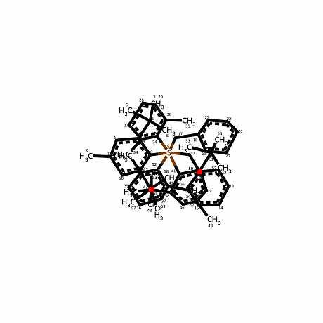 Cc1cc(C(C)(C)C)c(S(Cc2ccccc2)(Cc2ccccc2)(c2c(C)cccc2C)(c2c(C)cccc2C)c2c(C(C)(C)C)cc(C)cc2C(C)(C)C)c(C(C)(C)C)c1